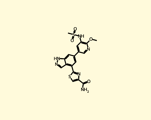 COc1ncc(-c2cc(-c3nc(C(N)=O)cs3)c3cn[nH]c3c2)cc1NS(C)(=O)=O